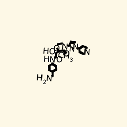 C[C@]1(C(O)C(=O)Nc2ccc(CN)cc2)OCCN(c2ccn(-c3ccncc3)n2)C1=O